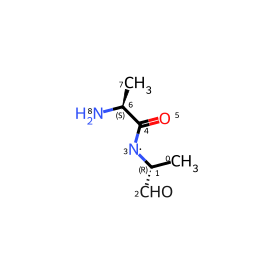 C[C@H](C=O)[N]C(=O)[C@H](C)N